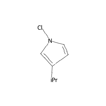 CC(C)c1ccn(Cl)c1